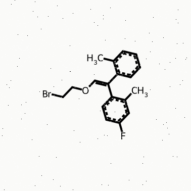 Cc1ccccc1C(=COCCBr)c1ccc(F)cc1C